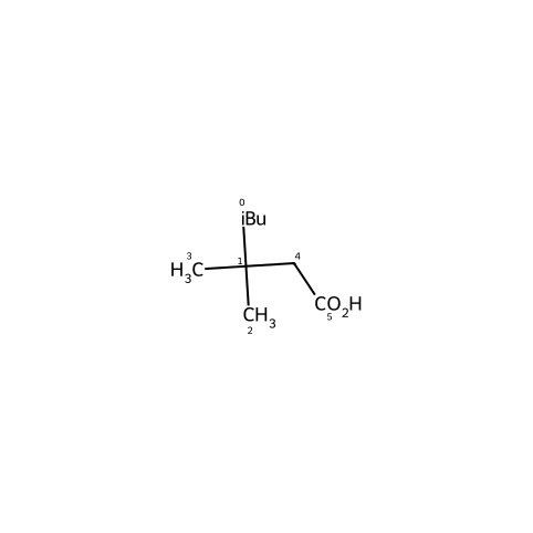 CCC(C)C(C)(C)CC(=O)O